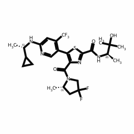 C[C@H](Nc1cc(C(F)(F)F)c(-c2sc(C(=O)N[C@H](C)C(C)(C)O)nc2C(=O)N2CC(F)(F)C[C@@H]2C)cn1)C1CC1